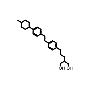 CC1CCC(c2ccc(CCc3ccc(CCCC(CO)CO)cc3)cc2)CC1